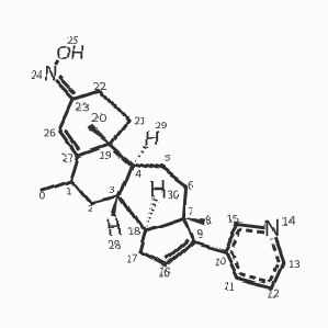 CC1C[C@@H]2[C@H](CC[C@]3(C)C(c4cccnc4)=CC[C@@H]23)[C@@]2(C)CCC(=NO)C=C12